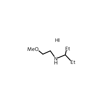 CCC(CC)NCCOC.I